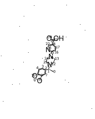 C[C@@H](c1ccc2c(c1)OCO2)N1CCN(c2ccc(C(=O)O)cn2)CC1